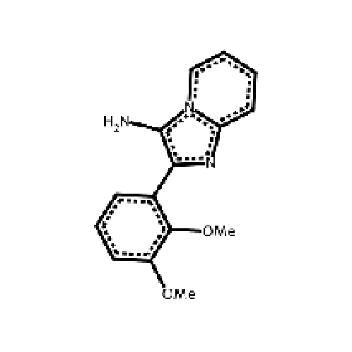 COc1cccc(-c2nc3ccccn3c2N)c1OC